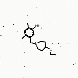 CCOC1CCN(Cc2cc(N)c(C)cc2C)CC1